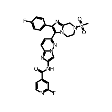 CS(=O)(=O)N1CCn2c(nc(-c3ccc(F)cc3)c2-c2ccc3nc(NC(=O)c4ccnc(F)c4)cn3n2)C1